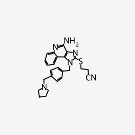 N#CCCSc1nc2c(N)nc3ccccc3c2n1Cc1ccc(CN2CCCC2)cc1